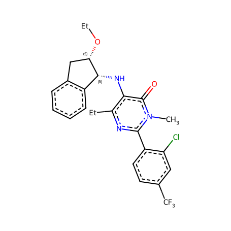 CCO[C@H]1Cc2ccccc2[C@H]1Nc1c(CC)nc(-c2ccc(C(F)(F)F)cc2Cl)n(C)c1=O